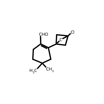 CC1(C)CCC(C=O)=C(C23CC(Cl)(C2)C3)C1